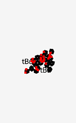 CC(C)(C)c1ccc2c(c1)B1c3ccc(-c4cc([Si](c5ccccc5)(c5ccccc5)c5cccc(-c6ccccc6)c5)cc([Si](c5ccccc5)(c5ccccc5)c5cccc(-c6ccccc6)c5)c4)cc3N(c3c(-c4ccccc4)cccc3-c3ccccc3)c3cc(C(C)(C)C)cc(c31)N2c1ccc(-c2ccccc2)cc1-c1ccccc1